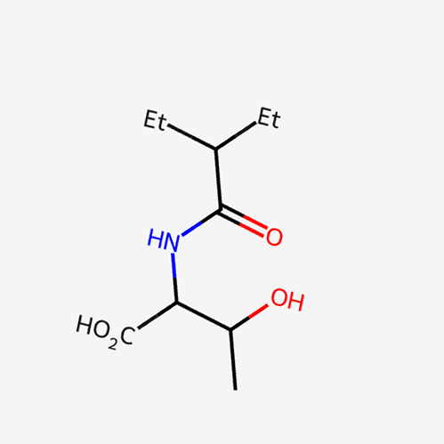 CCC(CC)C(=O)NC(C(=O)O)C(C)O